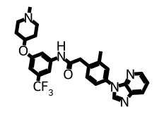 Cc1cc(-n2cnc3cccnc32)ccc1CC(=O)Nc1cc(OC2CCN(C)CC2)cc(C(F)(F)F)c1